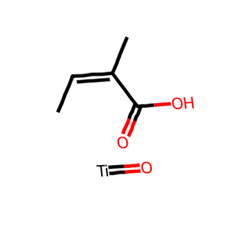 CC=C(C)C(=O)O.[O]=[Ti]